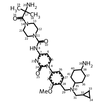 COc1cc(-n2ccc(NC(=O)N3CCN(C(=O)C(C)(C)N)CC3)nc2=O)ccc1CN(CC1CC1)C1CCC(N)CC1